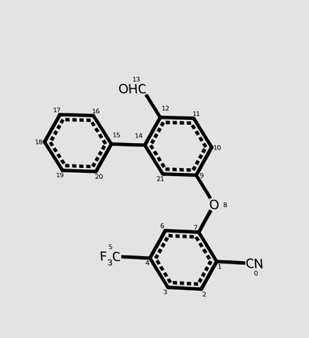 N#Cc1ccc(C(F)(F)F)cc1Oc1ccc(C=O)c(-c2ccccc2)c1